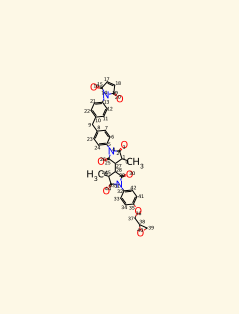 CC1C(=O)N(c2ccc(Cc3ccc(N4C(=O)C=CC4=O)cc3)cc2)C(=O)C1C1C(=O)N(c2ccc(OCC3CO3)cc2)C(=O)C1C